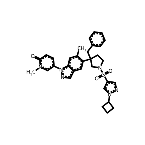 Cc1cc2c(cnn2-c2ccc(=O)n(C)c2)cc1C1(Cc2ccccc2)CCN(S(=O)(=O)c2cnn(C3CCC3)c2)C1